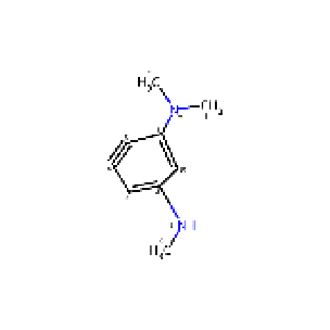 CNc1cc#cc(N(C)C)c1